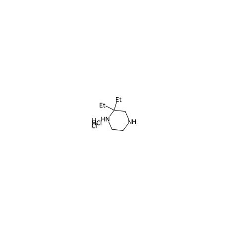 CCC1(CC)CNCCN1.Cl.Cl